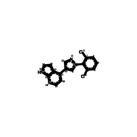 Clc1cccc(Cl)c1-n1cc(-c2ccnc3[nH]ccc23)cn1